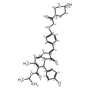 CC1=C(C(=O)OC(C)C)C(c2ccc(Cl)cc2)n2c(s/c(=C\c3ccc(OCC(=O)N4CCC(O)CC4)cc3)c2=O)=N1